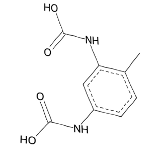 Cc1ccc(NC(=O)O)cc1NC(=O)O